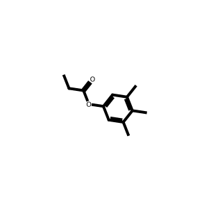 CCC(=O)Oc1cc(C)c(C)c(C)c1